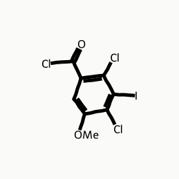 COc1cc(C(=O)Cl)c(Cl)c(I)c1Cl